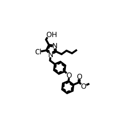 CCCCc1nc(CO)c(Cl)n1Cc1ccc(Oc2ccccc2C(=O)OC)cc1